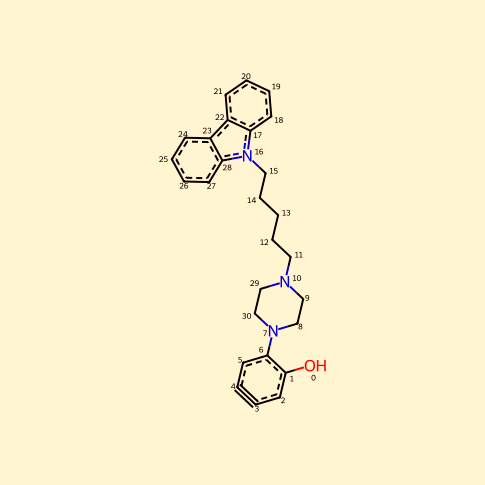 Oc1cc#ccc1N1CCN(CCCCCn2c3ccccc3c3ccccc32)CC1